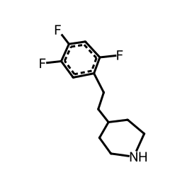 Fc1cc(F)c(CCC2CCNCC2)cc1F